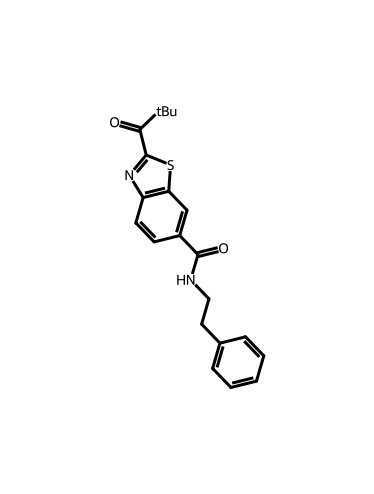 CC(C)(C)C(=O)c1nc2ccc(C(=O)NCCc3ccccc3)cc2s1